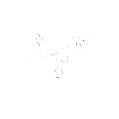 CC(C)(C)C(=O)NC1CCC(N[C@H](Cc2ccc(Cl)cc2)C(=O)N2CCC(Cn3cncn3)(C3CCCCC3)CC2)CC1